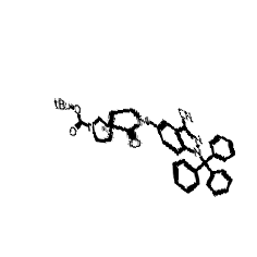 CC(C)(C)OC(=O)N1CC[C@]2(CCN(c3ccc4c(c3)c(C#N)nn4C(c3ccccc3)(c3ccccc3)c3ccccc3)C2=O)C1